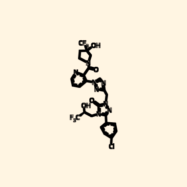 O=C(c1ncccc1-n1cnc(Cn2nc(-c3ccc(Cl)cc3)n(C[C@H](O)C(F)(F)F)c2=O)n1)N1CCC(O)(C(F)(F)F)C1